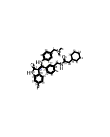 CN(C)Cc1ccc(N/C(=C2\C(=O)Nc3cc(F)ccc32)c2cccc(CNC(=O)CC3CCCCC3)c2)cc1